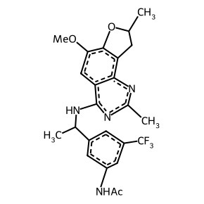 COc1cc2c(NC(C)c3cc(NC(C)=O)cc(C(F)(F)F)c3)nc(C)nc2c2c1OC(C)C2